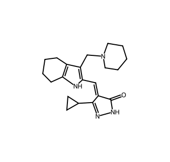 O=C1NN=C(C2CC2)/C1=C\c1[nH]c2c(c1CN1CCCCC1)CCCC2